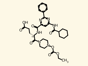 CCOC(=O)ON1CCN(C(=O)[C@H](CCC(=O)O)NC(=O)c2cc(NC(=O)C3CCCCC3)nc(-c3ccccc3)n2)CC1